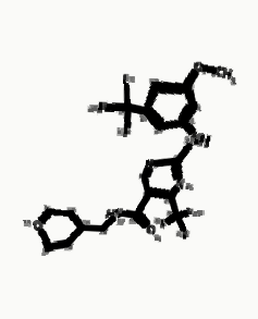 COc1cc(Nc2ncc(C(=O)NCC3CCOCC3)c(C(F)(F)F)n2)cc(C(F)(F)F)c1